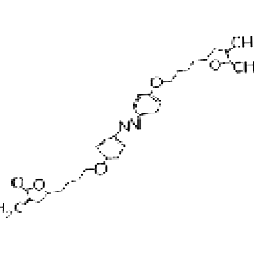 C=C1CC(CCCCOc2ccc(N=Nc3ccc(OCCCCC4CC(=C)C(=O)O4)cc3)cc2)OC1=C